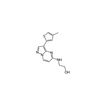 Cc1csc(-c2cnn3ccc(NCCO)nc23)c1